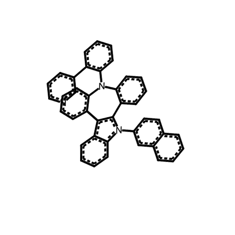 c1cncc(-c2ccccc2N2c3ccccc3-c3c(n(-c4ccc5ccccc5c4)c4ccccc34)-c3ccccc32)c1